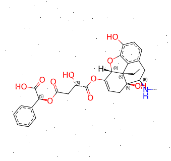 CC[C@]12c3c4ccc(O)c3O[C@H]1C(OC(=O)[C@@H](O)CC(=O)O[C@H](C(=O)O)c1ccccc1)=CC[C@@]2(O)[C@H](NC)C4